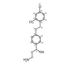 NCCC(O)c1ccc(SCc2ccc(Cl)cc2Cl)cc1